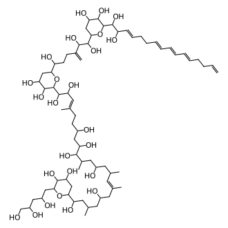 C=CCC/C=C/C=C/C=C/CC/C=C/C(O)C(O)C1OC(C(O)C(O)C(=C)CCC(O)C2CC(O)C(O)C(C(O)C(O)/C=C(\C)CCC(O)CC(O)C(O)C(C)CC(O)CC(C)/C=C(\C)CC(O)CC(C)CC(O)C3CC(O)C(O)C(CC(O)CC(O)CO)O3)O2)CC(O)C1O